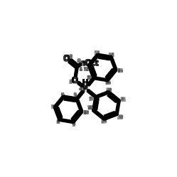 CCCCCCCCC(=O)O[PH](c1ccccc1)(c1ccccc1)c1ccccc1